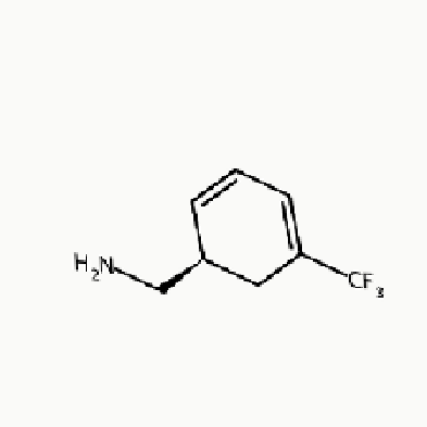 NC[C@H]1C=CC=C(C(F)(F)F)C1